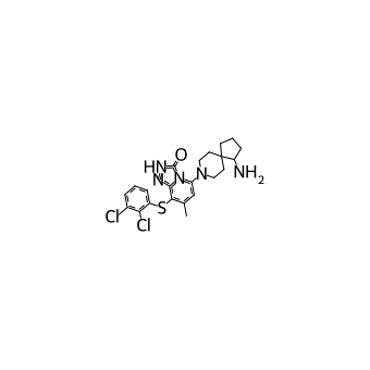 Cc1cc(N2CCC3(CCCC3N)CC2)n2c(=O)[nH]nc2c1Sc1cccc(Cl)c1Cl